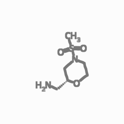 CS(=O)(=O)N1CCO[C@H](CN)C1